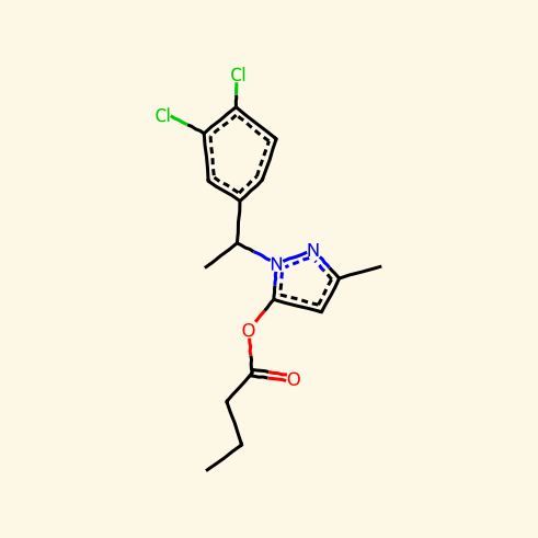 CCCC(=O)Oc1cc(C)nn1C(C)c1ccc(Cl)c(Cl)c1